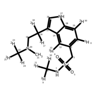 [2H]c1c(CS(=O)(=O)NC([2H])([2H])[2H])c([2H])c2c(C([2H])([2H])CN(C)C([2H])([2H])[2H])c[nH]c2c1[2H]